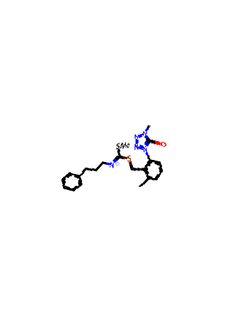 CS/C(=N\CCCc1ccccc1)SCc1c(C)cccc1-n1nnn(C)c1=O